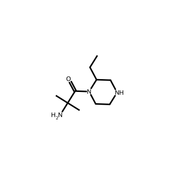 CCC1CNCCN1C(=O)C(C)(C)N